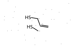 C=C[CH]S.[CH2]S